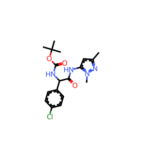 Cc1cc(NC(=O)C(NC(=O)OC(C)(C)C)c2ccc(Cl)cc2)n(C)n1